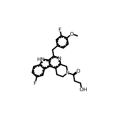 COc1ccc(Cc2nc3c(c4c2[nH]c2ccc(F)cc24)CCN(C(=O)CCO)C3)cc1F